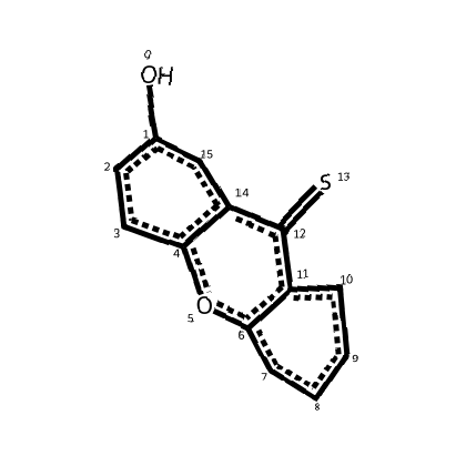 Oc1ccc2oc3ccccc3c(=S)c2c1